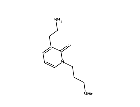 COCCCn1cccc(CCN)c1=O